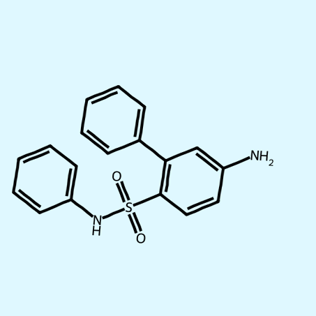 Nc1ccc(S(=O)(=O)Nc2ccccc2)c(-c2ccccc2)c1